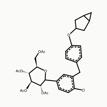 CC(=O)OC[C@H]1OC(c2ccc(Cl)c(Cc3ccc(OC4CC5CC5C4)cc3)c2)[C@H](OC(C)=O)[C@@H](OC(C)=O)[C@@H]1OC(C)=O